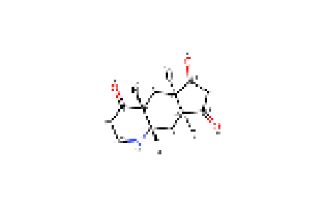 O=C1CC(=O)[C@@H]2C[C@H]3C(=O)CC=N[C@H]3C[C@H]12